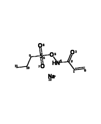 C=CC(=O)NOS(=O)(=O)CCC.[Na]